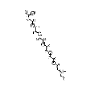 CCNCCOCCOCCOCCOCCOCCC(C)=O